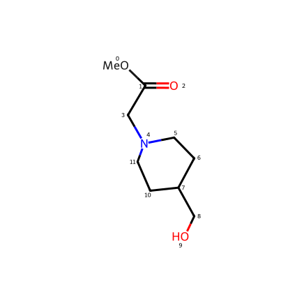 COC(=O)CN1CCC(CO)CC1